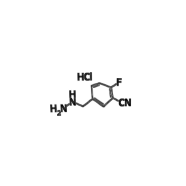 Cl.N#Cc1cc(CNN)ccc1F